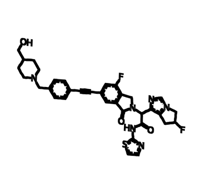 O=C(Nc1nccs1)C(c1ncn2c1CC(F)C2)N1Cc2c(F)cc(C#Cc3ccc(CN4CCC(CO)CC4)cc3)cc2C1=O